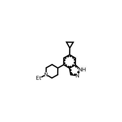 CCN1CCC(c2cc(C3CC3)cc3[nH]ncc23)CC1